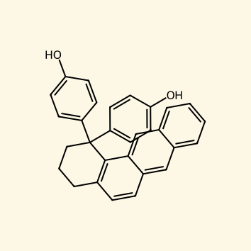 Oc1ccc(C2(c3ccc(O)cc3)CCCc3ccc4cc5ccccc5cc4c32)cc1